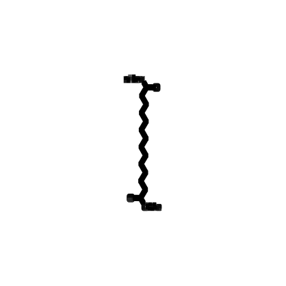 CCCCCCC(=O)CCCCCCCCCCCCC(=O)OC